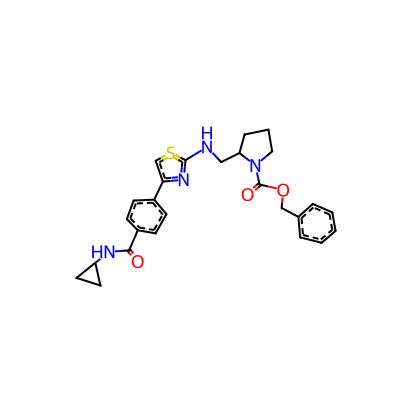 O=C(NC1CC1)c1ccc(-c2csc(NCC3CCCN3C(=O)OCc3ccccc3)n2)cc1